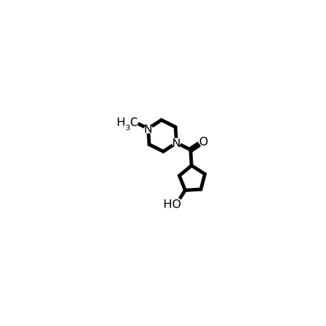 CN1CCN(C(=O)C2CCC(O)C2)CC1